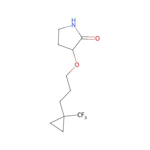 O=C1NCCC1OCCCC1(C(F)(F)F)CC1